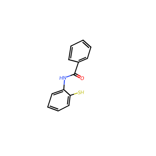 O=C(Nc1ccccc1S)c1ccccc1